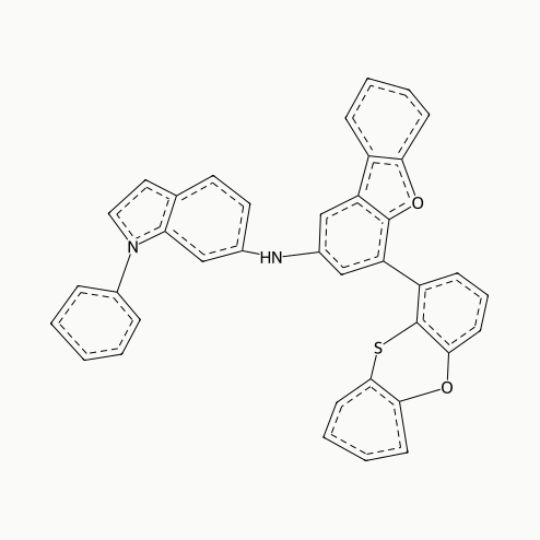 c1ccc(-n2ccc3ccc(Nc4cc(-c5cccc6c5Sc5ccccc5O6)c5oc6ccccc6c5c4)cc32)cc1